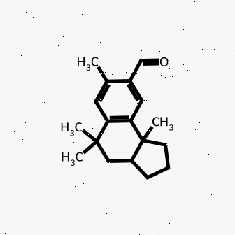 Cc1cc2c(cc1C=O)C1(C)CCCC1CC2(C)C